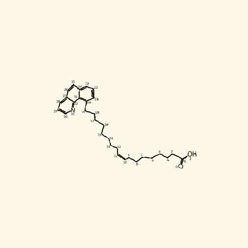 O=C(O)CCCCCCC/C=C\CCCCCCCCc1cccc2ccc3cccnc3c12